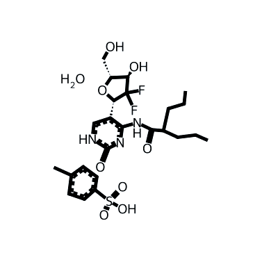 CCCC(CCC)C(=O)Nc1nc(=O)[nH]cc1[C@@H]1O[C@H](CO)[C@@H](O)C1(F)F.Cc1ccc(S(=O)(=O)O)cc1.O